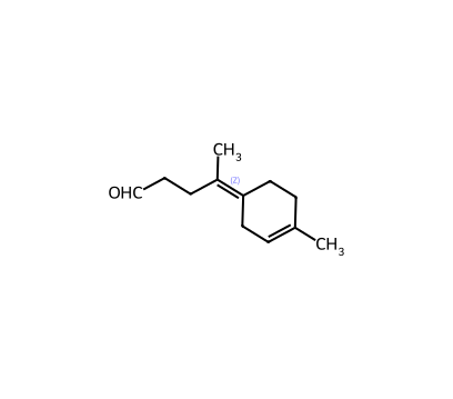 CC1=CC/C(=C(/C)CCC=O)CC1